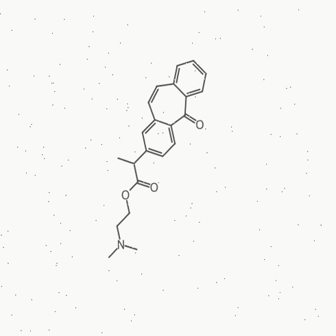 CC(C(=O)OCCN(C)C)c1ccc2c(=O)c3ccccc3ccc2c1